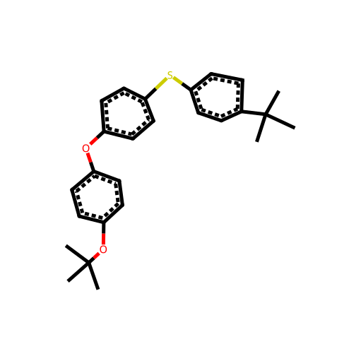 CC(C)(C)Oc1ccc(Oc2ccc(Sc3ccc(C(C)(C)C)cc3)cc2)cc1